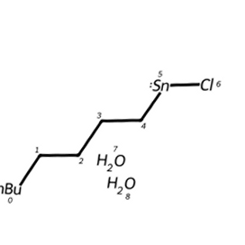 CCCCCCC[CH2][Sn][Cl].O.O